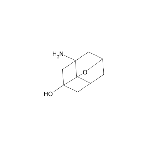 NC12CC3CC(C1)OC(O)(C3)C2